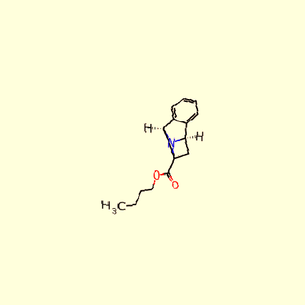 CCCCOC(=O)C12C[C@@H]3c4ccccc4[C@H]1N32